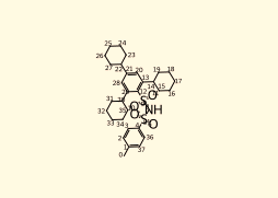 Cc1ccc(S(=O)(=O)NS(=O)(=O)c2c(C3CCCCC3)cc(C3CCCCC3)cc2C2CCCCC2)cc1